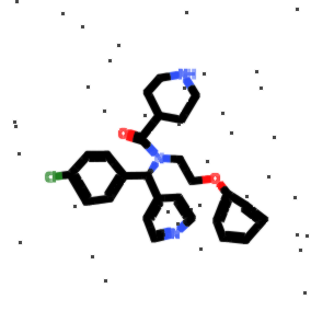 O=C(C1CCNCC1)N(CCOc1ccccc1)[C@@H](c1ccncc1)c1ccc(Cl)cc1